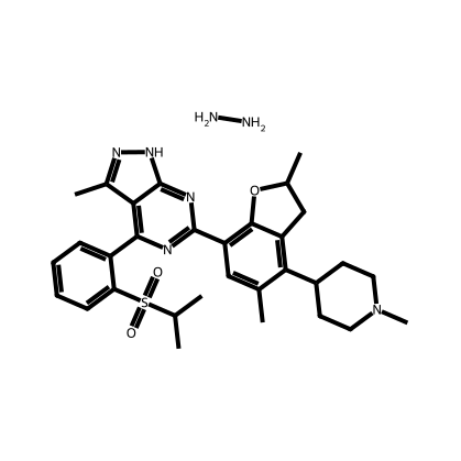 Cc1cc(-c2nc(-c3ccccc3S(=O)(=O)C(C)C)c3c(C)n[nH]c3n2)c2c(c1C1CCN(C)CC1)CC(C)O2.NN